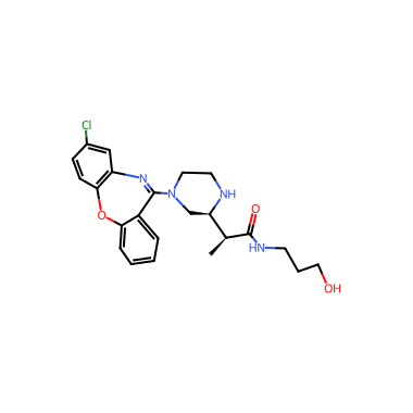 C[C@H](C(=O)NCCCO)[C@H]1CN(C2=Nc3cc(Cl)ccc3Oc3ccccc32)CCN1